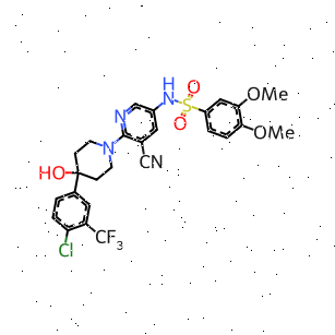 COc1ccc(S(=O)(=O)Nc2cnc(N3CCC(O)(c4ccc(Cl)c(C(F)(F)F)c4)CC3)c(C#N)c2)cc1OC